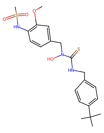 COc1cc(CN(O)C(=S)NCc2ccc(C(C)(C)C)cc2)ccc1NS(C)(=O)=O